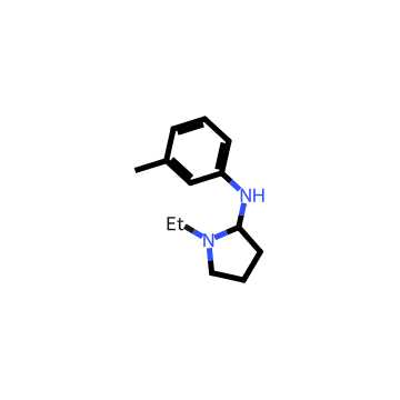 CCN1CCCC1Nc1cccc(C)c1